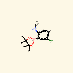 CC1(C)OB(c2cc(Cl)ccc2NC(=O)O)OC1(C)C